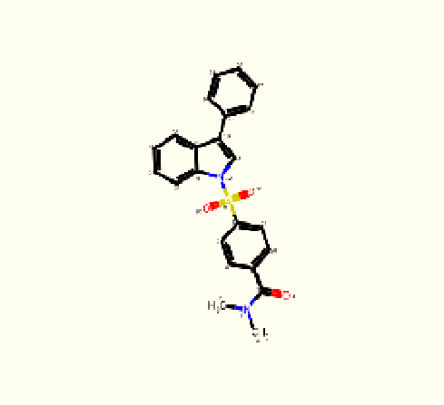 CN(C)C(=O)c1ccc(S(=O)(=O)n2cc(-c3ccccc3)c3ccccc32)cc1